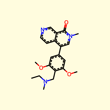 CCN(C)Cc1c(OC)cc(-c2cn(C)c(=O)c3cnccc23)cc1OC